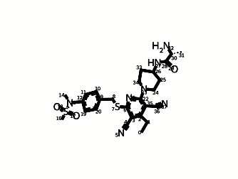 CCc1c(C#N)c(SCc2ccc(N(C)S(C)(=O)=O)cc2)nc(N2CCC(NC(=O)[C@@H](C)N)CC2)c1C#N